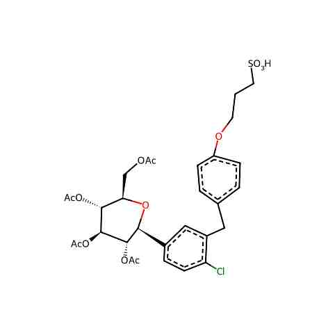 CC(=O)OC[C@H]1O[C@@H](c2ccc(Cl)c(Cc3ccc(OCCCS(=O)(=O)O)cc3)c2)[C@H](OC(C)=O)[C@@H](OC(C)=O)[C@@H]1OC(C)=O